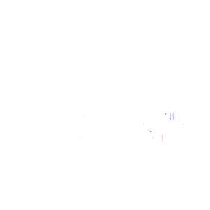 Cl.NC[C@]1(O)CC[C@H](COCc2ccccc2)CC1